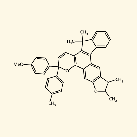 COc1ccc(C2(c3ccc(C)cc3)C=Cc3c4c(c5cc6c(cc5c3O2)OC(C)N6C)-c2ccccc2C4(C)C)cc1